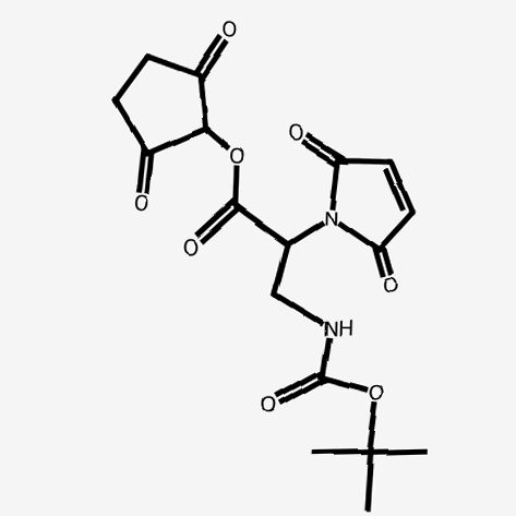 CC(C)(C)OC(=O)NCC(C(=O)OC1C(=O)CCC1=O)N1C(=O)C=CC1=O